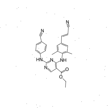 CCOC(=O)c1cnc(Nc2ccc(C#N)cc2)nc1Nc1c(C)cc(/C=C/C#N)cc1C